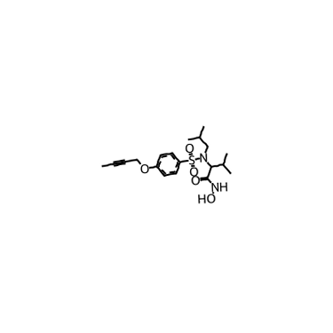 CC#CCOc1ccc(S(=O)(=O)N(CC(C)C)C(C(=O)NO)C(C)C)cc1